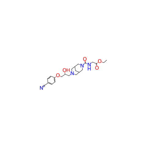 CCOC(=O)CNC(=O)N1CC2CC(CN(CC(O)COc3ccc(C#N)cc3)C2)C1